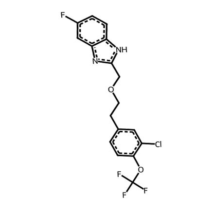 Fc1ccc2[nH]c(COCCc3ccc(OC(F)(F)F)c(Cl)c3)nc2c1